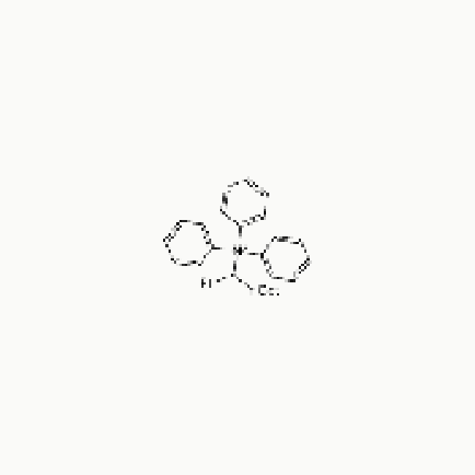 CCCCCCCCC(CC)[N+](c1ccccc1)(c1ccccc1)c1ccccc1